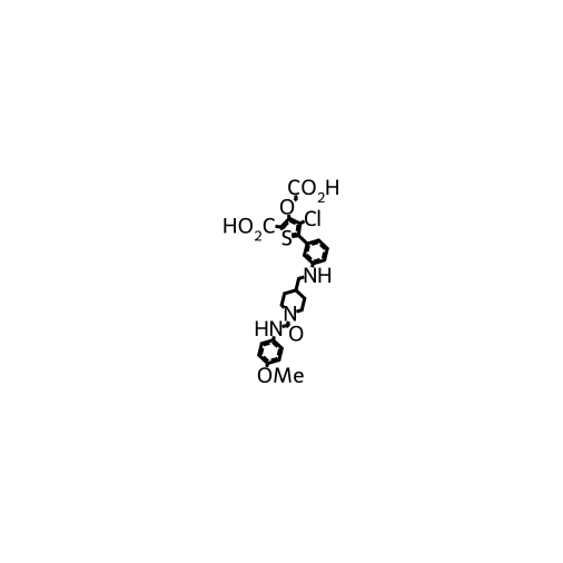 COc1ccc(NC(=O)N2CCC(CNc3cccc(-c4sc(C(=O)O)c(OCC(=O)O)c4Cl)c3)CC2)cc1